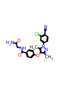 Cc1nn(-c2ccc(C#N)c(Cl)c2)c(C)c1Oc1ccc(C(=O)NCC(N)=O)cc1